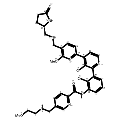 COCCNCc1ccc(C(=O)Nc2cccc(-c3nccc(-c4ccc(CNC[C@H]5CCC(=O)N5)c(OC)n4)c3Cl)c2Cl)nc1